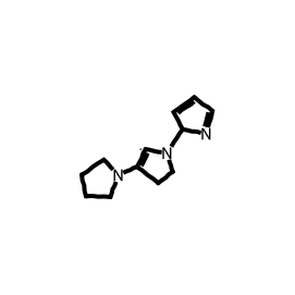 [C]1=C(N2CCCC2)CCN1C1C=CC=N1